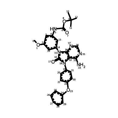 COc1cc(NC(=O)OC(C)(C)C)cc(-n2c(=O)n(-c3ccc(Oc4ccccc4)cc3)c3c(N)ncnc32)c1